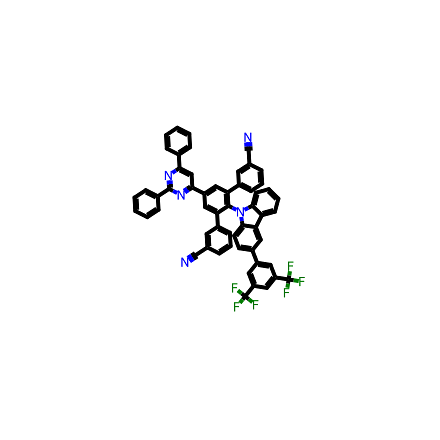 N#Cc1cccc(-c2cc(-c3cc(-c4ccccc4)nc(-c4ccccc4)n3)cc(-c3cccc(C#N)c3)c2-n2c3ccccc3c3cc(-c4cc(C(F)(F)F)cc(C(F)(F)F)c4)ccc32)c1